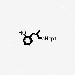 CCCCCCCCC(C)Cc1ccccc1O